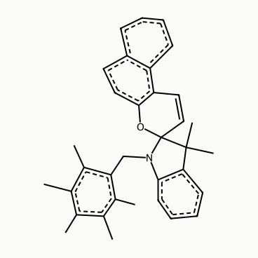 Cc1c(C)c(C)c(CN2c3ccccc3C(C)(C)C23C=Cc2c(ccc4ccccc24)O3)c(C)c1C